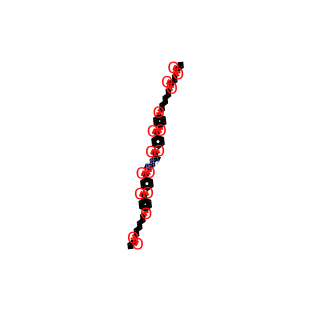 C=CC(=O)OCCCCCCOc1ccc(C(=O)O[C@H]2CC[C@H](C(=O)O/C(C)=C/C=C(\C)C(=O)O[C@H]3CC[C@H](C(=O)Oc4ccc(OCCCCCCOC(=O)CCOC(=O)C=C)cc4)CC3)CC2)cc1